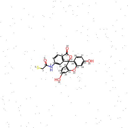 O=C(C[S])Nc1ccc2c(c1)C1(OC2=O)c2ccc(O)cc2Oc2cc(O)ccc21